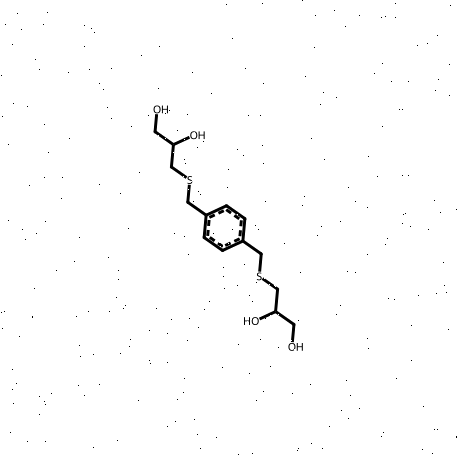 OCC(O)CSCc1ccc(CSCC(O)CO)cc1